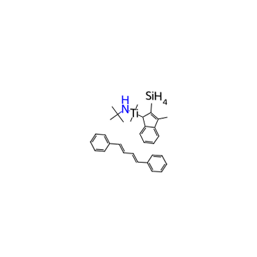 C(C=Cc1ccccc1)=Cc1ccccc1.CC1=C(C)[CH]([Ti]([CH3])([CH3])[NH]C(C)(C)C)c2ccccc21.[SiH4]